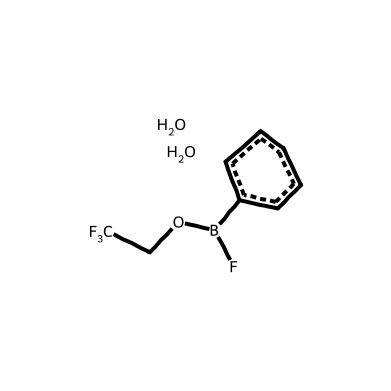 FB(OCC(F)(F)F)c1ccccc1.O.O